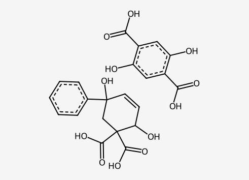 O=C(O)C1(C(=O)O)CC(O)(c2ccccc2)C=CC1O.O=C(O)c1cc(O)c(C(=O)O)cc1O